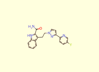 NC(=O)c1[nH]c2ccccc2c1CCn1ccc(-c2ccc(F)cn2)n1